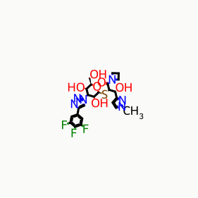 Cn1ccc([C@@H](O)[C@H](S[C@@H]2O[C@H](CO)[C@H](O)[C@H](n3cc(-c4cc(F)c(F)c(F)c4)nn3)[C@H]2O)C(=O)N2CCC2)n1